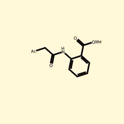 COC(=O)c1ccccc1NC(=O)CC(C)=O